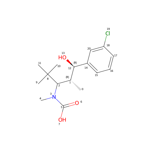 C[C@H](C(N(C)C(=O)O)C(C)(C)C)[C@@H](O)c1cccc(Cl)c1